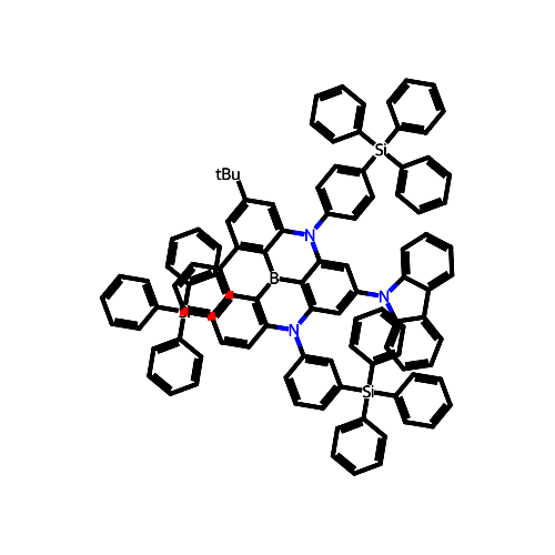 CC(C)(C)c1cc(-c2ccccc2)c2c(c1)N(c1ccc([Si](c3ccccc3)(c3ccccc3)c3ccccc3)cc1)c1cc(-n3c4ccccc4c4ccccc43)cc3c1B2c1cc([Si](c2ccccc2)(c2ccccc2)c2ccccc2)ccc1N3c1cccc([Si](c2ccccc2)(c2ccccc2)c2ccccc2)c1